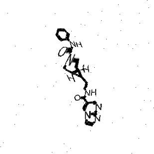 O=C(NCCC1[C@H]2CN(C(=O)Nc3ccccc3)C[C@@H]12)c1cnc2nccn2c1